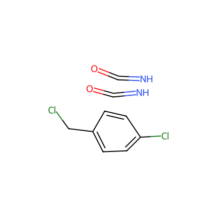 ClCc1ccc(Cl)cc1.N=C=O.N=C=O